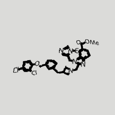 CCn1cncc1Cn1c(CN2CC(Cc3cccc(COc4ccc(Cl)cc4Cl)c3)C2)nc2ccc(C(=O)OC)cc21